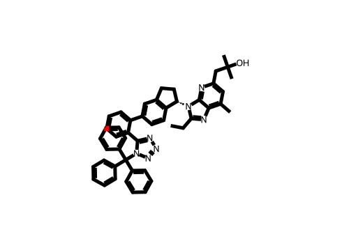 CCc1nc2c(C)cc(CC(C)(C)O)nc2n1[C@H]1CCc2cc(-c3ccccc3-c3nnnn3C(c3ccccc3)(c3ccccc3)c3ccccc3)ccc21